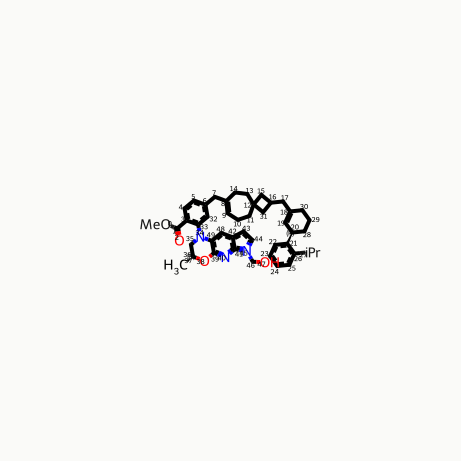 COC(=O)c1ccc(CC2=CCCC3(CC2)CC(CC2=C[C@H](c4ccccc4C(C)C)CCC2)C3)cc1N1C[C@@H](C)Oc2nc3c(ccn3CO)cc21